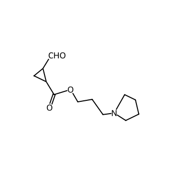 O=CC1CC1C(=O)OCCCN1CCCC1